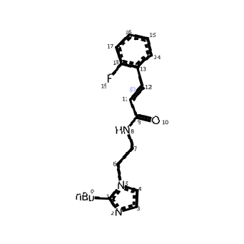 CCCCc1nccn1CCNC(=O)/C=C/c1ccccc1F